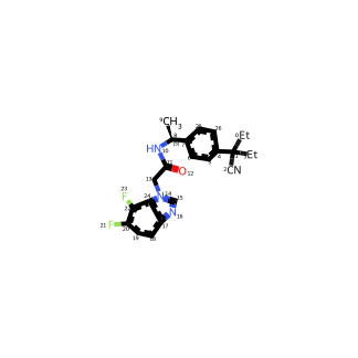 CCC(C#N)(CC)c1ccc([C@H](C)NC(=O)Cn2cnc3ccc(F)c(F)c32)cc1